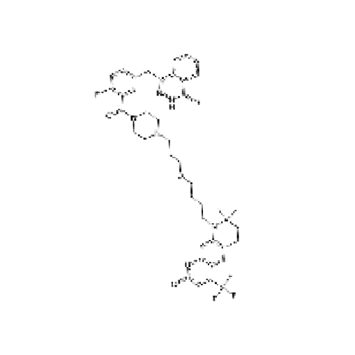 CC1(C)CCc2cc3c(C(F)(F)F)cc(=O)oc3cc2N1CCCCOCCCN1CCN(C(=O)c2cc(Cc3n[nH]c(=O)c4ccccc34)ccc2F)CC1